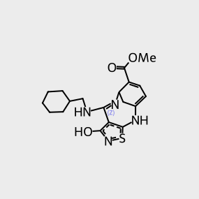 COC(=O)C1=CC=C2CC1/N=C(\NCC1CCCCC1)c1c(O)nsc1N2